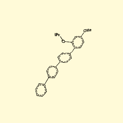 COc1ccc(-c2ccc(-c3ccc(-c4ccccc4)cc3)cc2)c(OC(C)C)c1